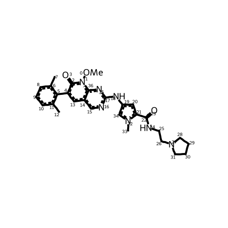 COn1c(=O)c(-c2c(C)cccc2C)cc2cnc(Nc3cc(C(=O)NCCN4CCCC4)n(C)c3)nc21